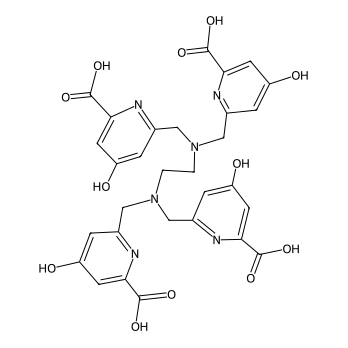 O=C(O)c1cc(O)cc(CN(CCN(Cc2cc(O)cc(C(=O)O)n2)Cc2cc(O)cc(C(=O)O)n2)Cc2cc(O)cc(C(=O)O)n2)n1